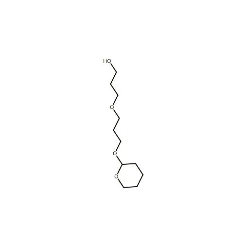 OCCCOCCCOC1CCCCO1